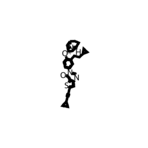 CN1C2CC[C@H]1C[C@@H](Oc1ccc(-n3cnc4cc(C#CC5CC5)sc4c3=O)cc1CCC1CC1)C2